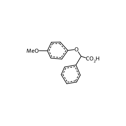 COc1ccc(OC(C(=O)O)c2ccccc2)cc1